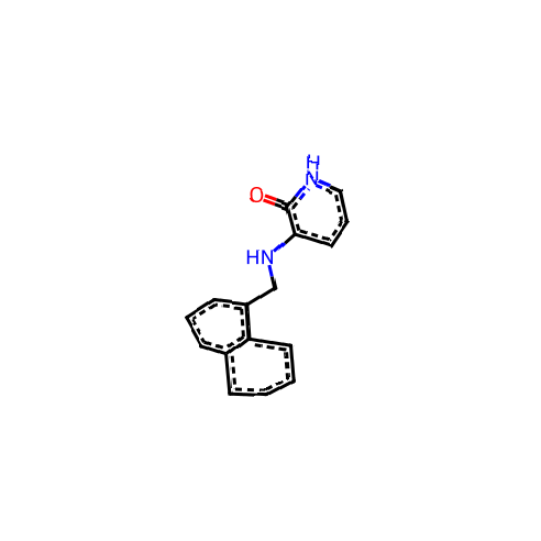 O=c1[nH]cccc1NCc1cccc2ccccc12